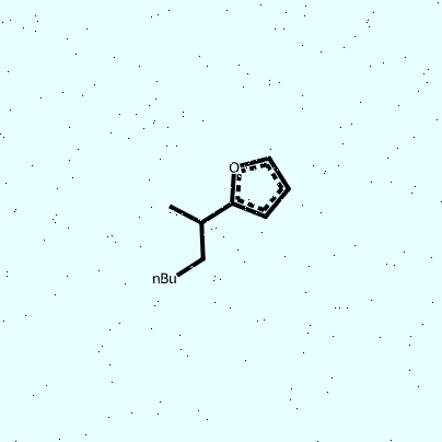 CCCCCC(C)c1ccco1